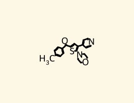 Cc1ccc(C(=O)c2cc(-c3ccncc3)c(N3CCOCC3)s2)cc1